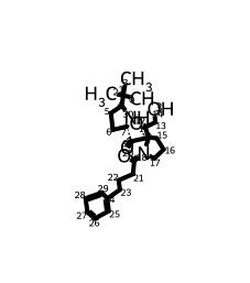 CC(C)(C)C1CC[C@@H](C(=O)C2(C(=O)CO)CCCN2C(=O)CCCc2ccccc2)N1